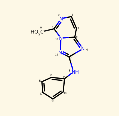 O=C(O)c1nccc2nc(Nc3ccccc3)nn12